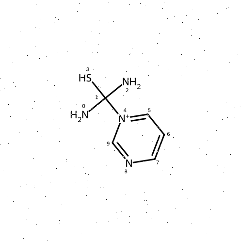 NC(N)(S)[n+]1cccnc1